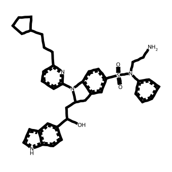 NCCN(c1ccccc1)S(=O)(=O)c1ccc2c(c1)CC(CC(O)c1ccc3[nH]ccc3c1)N2c1cccc(CCCC2CCCC2)n1